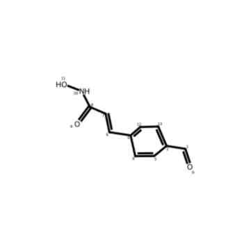 O=Cc1ccc(C=CC(=O)NO)cc1